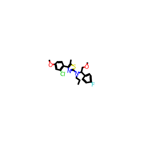 CCCN(c1nc(-c2ccc(OC)cc2Cl)c(C)s1)C(COC)c1ccc(F)cc1